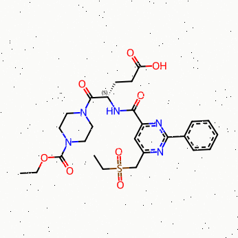 CCOC(=O)N1CCN(C(=O)[C@H](CCC(=O)O)NC(=O)c2cc(CS(=O)(=O)CC)nc(-c3ccccc3)n2)CC1